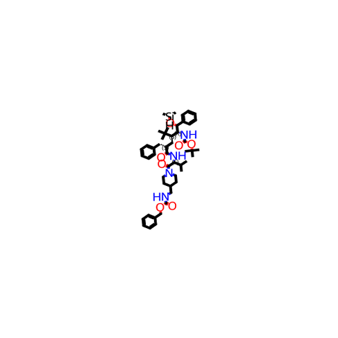 CC(C)[C@H](NC(=O)[C@H](Cc1ccccc1)C[C@H]([C@@H](NC(=O)OC(C)(C)C)C(O[SiH](C)C)c1ccccc1)C(C)(C)C)C(=O)N1CCC(CNC(=O)OCc2ccccc2)CC1